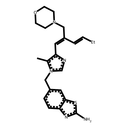 CC/C=C/C(=C\c1ncn(Cc2ccc3nc(N)sc3c2)c1C)CN1CCOCC1